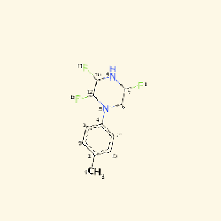 Cc1ccc(N2CC(F)NC(F)C2F)cc1